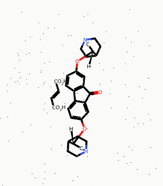 O=C(O)/C=C/C(=O)O.O=C1c2cc(O[C@@H]3CN4CCC3CC4)ccc2-c2ccc(O[C@@H]3CN4CCC3CC4)cc21